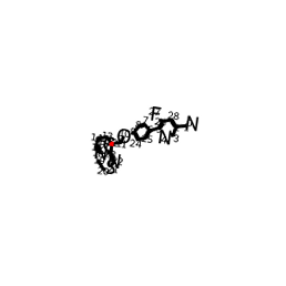 N#Cc1cnc(-c2ccc(OCC34CCC(CC3)N3CCSN=C34)cc2)c(F)c1